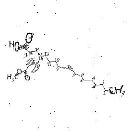 CCCCCCCCCCCCCN(CCC(=O)O)CCC(=O)OC